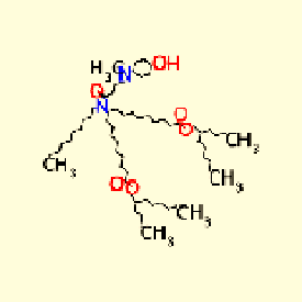 CCCCCCCCCCN(C(=O)CCCN(C)C1CCC(O)CC1)C(CCCCCCCCC(=O)OCC(CCCC)CCCCCC)CCCCCCCCC(=O)OCC(CCCC)CCCCCC